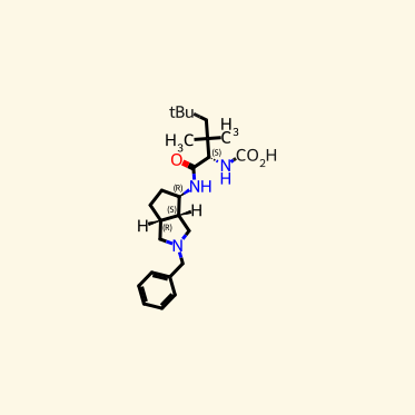 CC(C)(C)CC(C)(C)[C@H](NC(=O)O)C(=O)N[C@@H]1CC[C@H]2CN(Cc3ccccc3)C[C@H]21